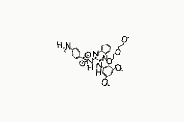 COCCOCCOc1c(Nc2nc3ccccc3nc2NS(=O)(=O)c2ccc(N)cc2)cc(OC)cc1OC